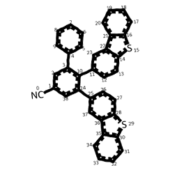 N#Cc1cc(-c2ccccc2)c(-c2ccc3sc4ccccc4c3c2)c(-c2ccc3sc4ccccc4c3c2)c1